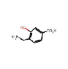 O=C(O)c1ccc(C[N+](=O)[O-])c(O)c1